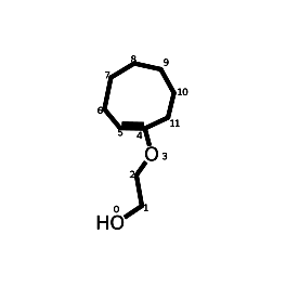 OCCOC1=CCCCCCC1